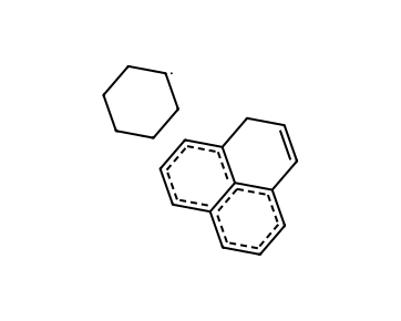 C1=Cc2cccc3cccc(c23)C1.[CH]1CCCCC1